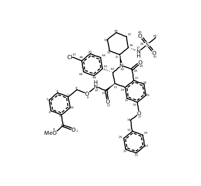 COC(=O)c1cccc(CONC(=O)[C@@H]2c3cc(OCc4ccccc4)ccc3C(=O)N([C@H]3CCCC[C@@H]3NS(C)(=O)=O)[C@H]2c2ccc(Cl)cc2)c1